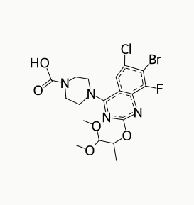 COC(OC)C(C)Oc1nc(N2CCN(C(=O)O)CC2)c2cc(Cl)c(Br)c(F)c2n1